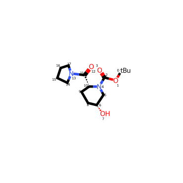 CC(C)(C)OC(=O)N1C[C@H](O)CC[C@@H]1C(=O)N1CCCC1